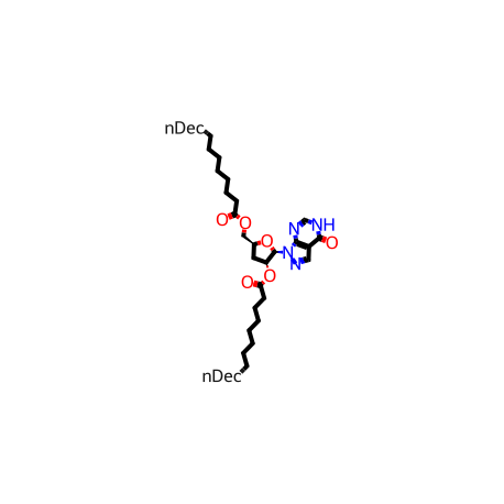 CCCCCCCCCCCCCCCCCC(=O)OC[C@@H]1C[C@@H](OC(=O)CCCCCCCCCCCCCCCCC)[C@H](n2ncc3c(=O)[nH]cnc32)O1